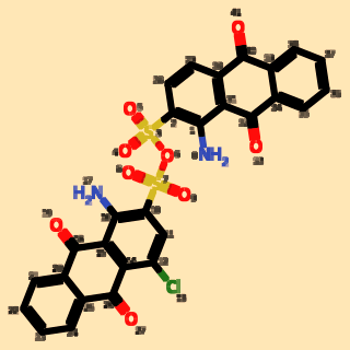 Nc1c(S(=O)(=O)OS(=O)(=O)c2cc(Cl)c3c(c2N)C(=O)c2ccccc2C3=O)ccc2c1C(=O)c1ccccc1C2=O